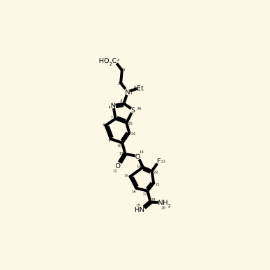 CCN(CCC(=O)O)c1nc2ccc(C(=O)Oc3ccc(C(=N)N)cc3F)cc2s1